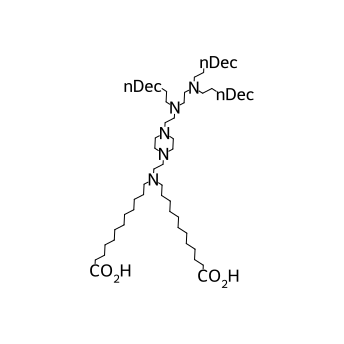 CCCCCCCCCCCCN(CCCCCCCCCCCC)CCN(CCCCCCCCCCCC)CCN1CCN(CCN(CCCCCCCCCCCC(=O)O)CCCCCCCCCCCC(=O)O)CC1